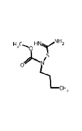 CCCCN(SC(=N)N)C(=O)OC